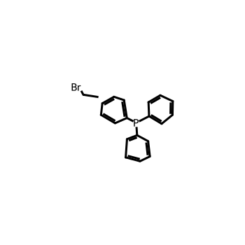 CCBr.c1ccc(P(c2ccccc2)c2ccccc2)cc1